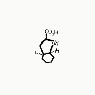 O=C(O)[C@@H]1[CH][C@H]2CCCC[C@@H]2N1